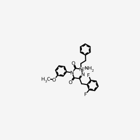 COc1cccc(N2C(=O)C(Cc3c(F)cccc3F)=N[N@+](N)(CCc3ccccc3)C2=O)c1